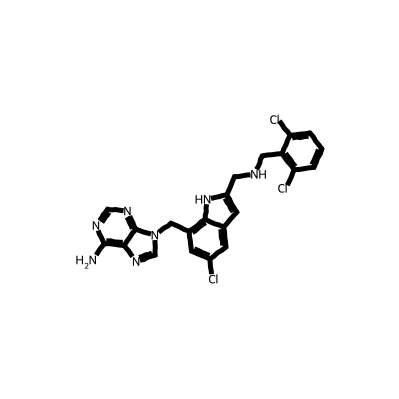 Nc1ncnc2c1ncn2Cc1cc(Cl)cc2cc(CNCc3c(Cl)cccc3Cl)[nH]c12